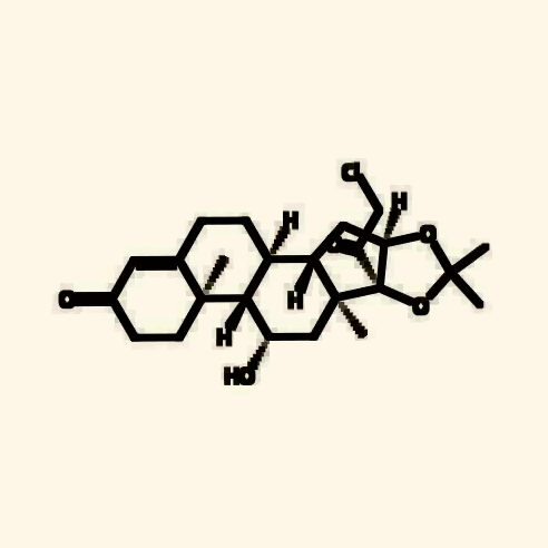 CC1(C)O[C@@H]2C[C@H]3[C@@H]4CCC5=CC(=O)CC[C@]5(C)[C@H]4[C@@H](O)C[C@]3(C)[C@]2(C(=O)CCl)O1